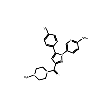 COc1ccc(-n2nc(C(=O)N3CCN(C)CC3)cc2-c2ccc(C(F)(F)F)cc2)cn1